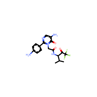 CC(C)C(NC(=O)Cn1c(-c2ccc(N)cc2)ncc(N)c1=O)C(=O)C(F)(F)F